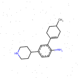 CC1CC=C(c2cc(C3CCNCC3)ccc2N)CC1